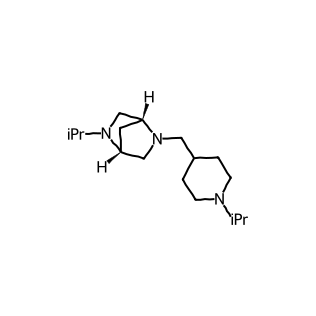 CC(C)N1CCC(CN2C[C@H]3C[C@@H]2CN3C(C)C)CC1